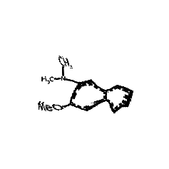 COc1cc2ccccc2cc1N(C)C